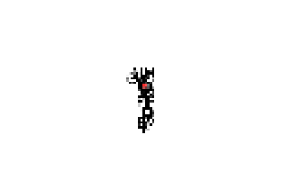 CCOP(=O)(OCC)C(Cc1nc(C(F)(F)c2ccc(OC(F)(F)F)cc2)no1)C(=O)O